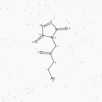 CC(=O)CCC(=O)CN1C(=O)C=CC1=O